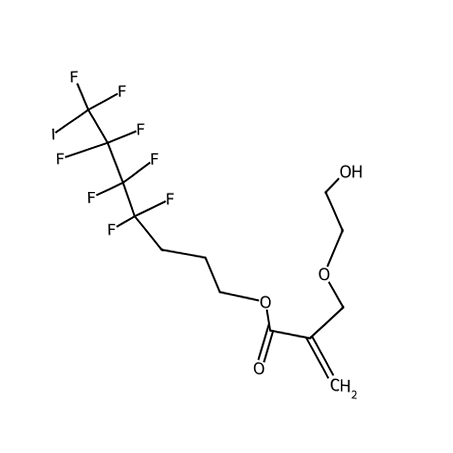 C=C(COCCO)C(=O)OCCCC(F)(F)C(F)(F)C(F)(F)C(F)(F)I